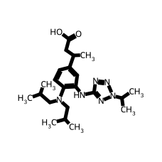 CC(C)CN(CC(C)C)c1ccc(C(C)CC(=O)O)cc1Nc1nnn(C(C)C)n1